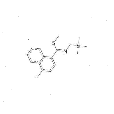 [CH2]c1ccc(/C(=N/C[Si](C)(C)C)SC)c2ccccc12